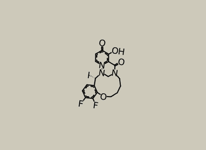 O=C1c2c(O)c(=O)ccn2N2CN1CCCCOc1c(ccc(F)c1F)[C@@H]2I